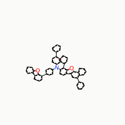 c1ccc(-c2ccc(N(c3ccc(-c4cccc5c4oc4ccccc45)cc3)c3ccc4c(oc5c6ccccc6c(-c6ccccc6)cc45)c3-c3ccccc3)cc2)cc1